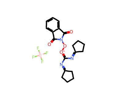 F[B-](F)(F)F.O=C1c2ccccc2C(=O)N1O[O+]=C(N=C1CCCC1)N=C1CCCC1